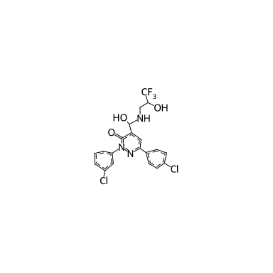 O=c1c(C(O)NCC(O)C(F)(F)F)cc(-c2ccc(Cl)cc2)nn1-c1cccc(Cl)c1